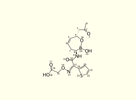 CC(=O)C[C@H]1C=CC[C@H](NC(=O)/C(=N\OCC(=O)O)c2cccs2)B(O)O1